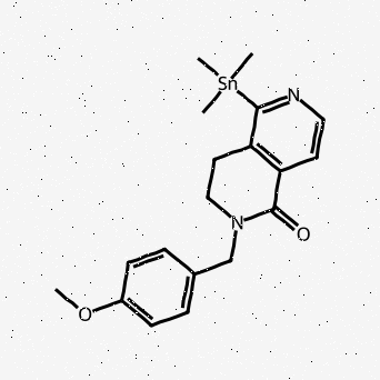 COc1ccc(CN2CCc3c(ccn[c]3[Sn]([CH3])([CH3])[CH3])C2=O)cc1